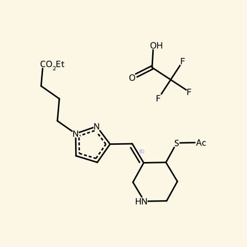 CCOC(=O)CCCn1ccc(/C=C2\CNCCC2SC(C)=O)n1.O=C(O)C(F)(F)F